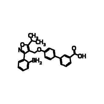 Bc1ccccc1-c1noc(C(C)C)c1COc1ccc(-c2cccc(C(=O)O)c2)cc1